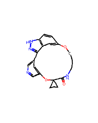 O=C1NCCCOc2ccc3[nH]nc(c3c2)-c2cncc(c2)OC12CC2